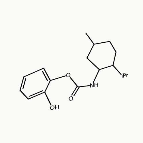 CC1CCC(C(C)C)C(NC(=O)Oc2ccccc2O)C1